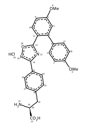 COc1ccc(-c2cc(OC)ccc2-c2nc(-c3ccc(C[C@H](N)C(=O)O)cc3)no2)cc1.Cl